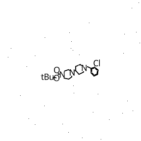 CC(C)(C)OC(=O)N1CCCN(C2CCN(Cc3ccccc3Cl)CC2)CC1